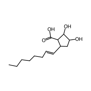 CCCCCCC=CC1CC(O)C(O)C1C(=O)O